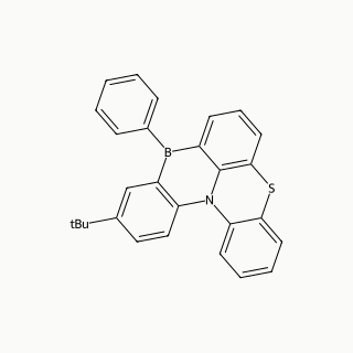 CC(C)(C)c1ccc2c(c1)B(c1ccccc1)c1cccc3c1N2c1ccccc1S3